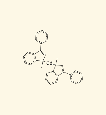 C[C]1([Gd][C]2(C)C=C(c3ccccc3)c3ccccc32)C=C(c2ccccc2)c2ccccc21